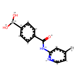 CCc1ccnc(NC(=O)c2ccc(B(O)O)cc2)c1